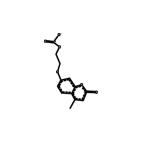 Cc1cc(=O)oc2cc(OCCO[N+](=O)[O-])ccc12